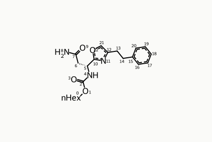 CCCCCCOC(=O)N[C@H](CC(N)=O)c1nc(CCc2ccccc2)co1